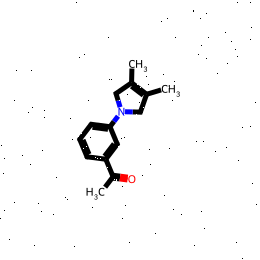 CC(=O)c1cccc(N2CC(C)=C(C)C2)c1